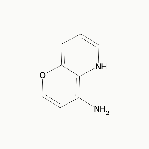 NC1=C2NC=CC=C2OC=C1